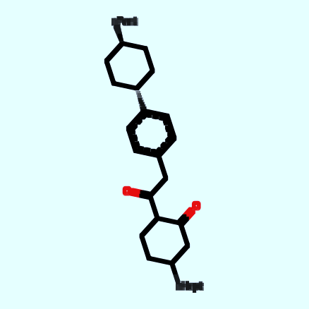 CCCCCCCC1CCC(C(=O)Cc2ccc([C@H]3CC[C@H](CCCCC)CC3)cc2)C(=O)C1